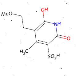 COCCc1c(O)[nH]c(=O)c(S(=O)(=O)O)c1C